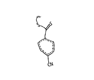 CC(C)SC(=S)c1ccc(C#N)cc1